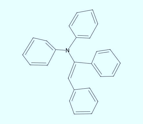 C(=C(/c1ccccc1)N(c1ccccc1)c1ccccc1)/c1ccccc1